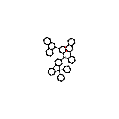 c1ccc(C2(c3ccccc3)c3ccccc3-c3ccc(N(c4cccc(-c5cc6ccccc6c6ccccc56)c4)c4ccccc4-c4ccc5ccccc5c4)cc32)cc1